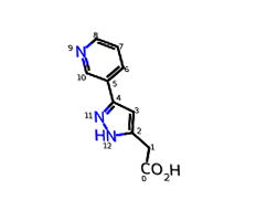 O=C(O)Cc1cc(-c2cccnc2)n[nH]1